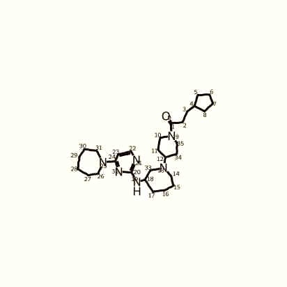 O=C(CCC1CCCC1)N1CCC(N2CCCCC(Nc3nccc(N4CCCCCC4)n3)C2)CC1